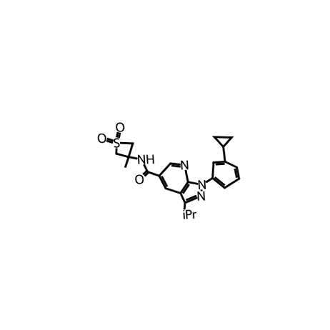 CC(C)c1nn(-c2cccc(C3CC3)c2)c2ncc(C(=O)NC3(C)CS(=O)(=O)C3)cc12